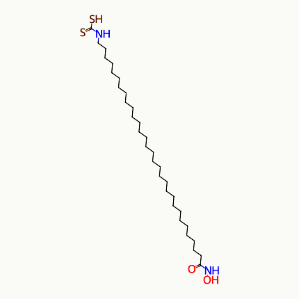 O=C(CCCCCCCCCCCCCCCCCCCCCCCCCCCCCCNC(=S)S)NO